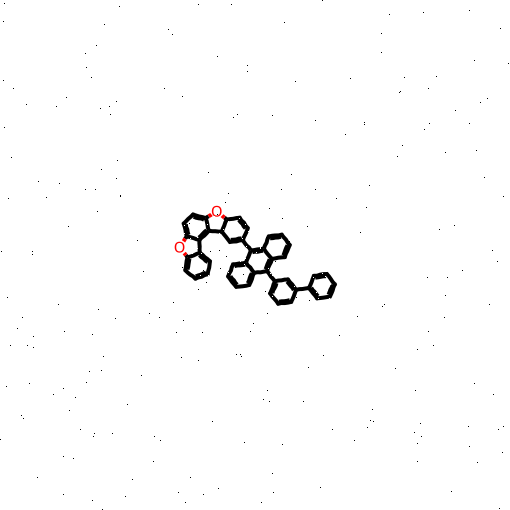 C1=CC2Oc3ccc4oc5ccccc5c4c3C2C=C1c1c2ccccc2c(-c2cccc(-c3ccccc3)c2)c2ccccc12